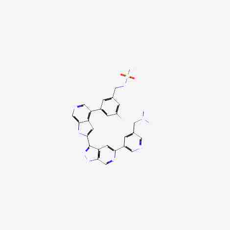 CN(C)Cc1cncc(-c2cc3c(-c4cc5c(-c6cc(F)cc(CNS(C)(=O)=O)c6)cncc5[nH]4)n[nH]c3cn2)c1